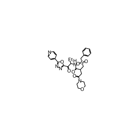 CCC(NC(=O)C(CC(=O)N1CCOCC1)CS(=O)(=O)Cc1ccccc1)C(=O)c1nnc(-c2ccncc2)o1